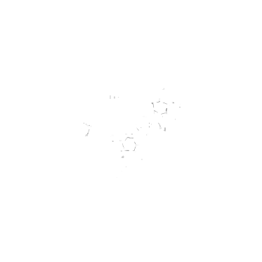 Br.CCOc1cc2c(c(F)c1OCC)C(=N)N(CC(=O)c1cc(OCCCC(N)=O)c(OCC(=O)O)c(C(C)(C)C)c1)C2